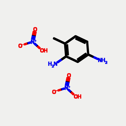 Cc1ccc(N)cc1N.O=[N+]([O-])O.O=[N+]([O-])O